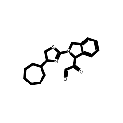 O=CC(=O)C1c2ccccc2CN1C1=NC(C2CCCCCC2)CS1